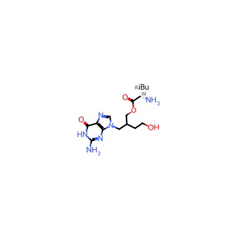 CC[C@H](C)[C@H](N)C(=O)OCC(CCO)Cn1cnc2c(=O)[nH]c(N)nc21